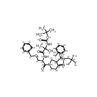 CC(C)(C)OC(=O)NC(C)(C)C(=O)N[C@H](COCc1ccccc1)C(=O)N1CCC2=NN(CC(F)(F)F)C(=O)[C@]2(Cc2ccccc2)C1